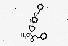 CN(C(=O)CCc1ccccc1)[C@H]1CC[C@H](c2ccc(OCc3ccccc3)cn2)CC1